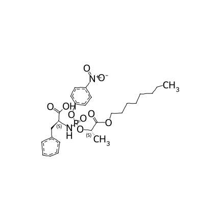 CCCCCCCCOC(=O)[C@H](C)OP(=O)(N[C@@H](Cc1ccccc1)C(=O)O)Oc1ccc([N+](=O)[O-])cc1